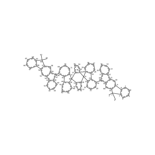 CC1(C)c2ccccc2-c2cc3c4ccccc4n(-c4cccc5c4-c4ccccc4C54c5ccccc5C5(c6ccccc6-c6c(-n7c8ccccc8c8cc9c(cc87)C(C)(C)c7ccccc7-9)cccc65)c5ccccc54)c3cc21